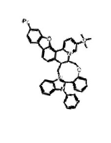 CC(C)c1ccc2c(c1)oc1c3c(ccc12)C1C[n+]2c(n(-c4ccccc4)c4ccccc42)-c2ccccc2OCC1[n+]1cc([Si](C)(C)C)ccc1-3